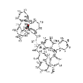 Fc1ccc(-n2c3ccccc3c3ccc([C@@H](CCc4ccc5c(c4)C4=C6c7ccccc7C7=C(C=CCC75)C4=CC4=CC46)Cc4ccc5ccccc5c4)cc32)cc1